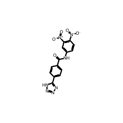 O=C(Nc1ccc([N+](=O)[O-])c([N+](=O)[O-])c1)c1ccc(-c2nnn[nH]2)cc1